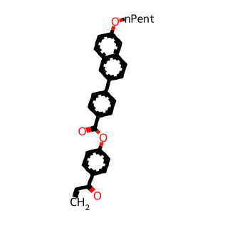 C=CC(=O)c1ccc(OC(=O)c2ccc(-c3ccc4cc(OCCCCC)ccc4c3)cc2)cc1